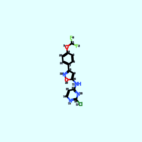 FC(F)Oc1ccc(-c2cc(Nc3ccnc(Cl)n3)on2)cc1